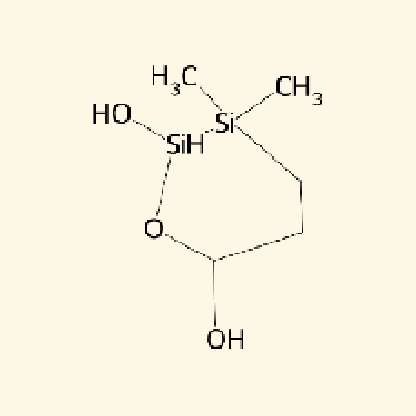 C[Si]1(C)CCC(O)O[SiH]1O